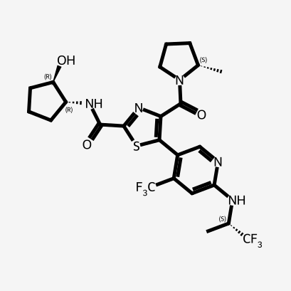 C[C@H](Nc1cc(C(F)(F)F)c(-c2sc(C(=O)N[C@@H]3CCC[C@H]3O)nc2C(=O)N2CCC[C@@H]2C)cn1)C(F)(F)F